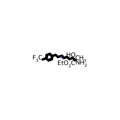 CCOC(=O)C(C)(N)C(O)CC/C=C/CCc1ccc(CC(F)(F)F)cc1